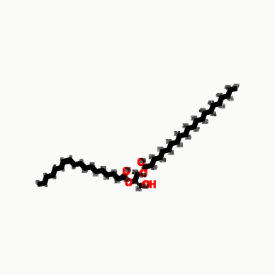 CCCCCC/C=C\CCCCCCCCCC(=O)O[C@@H](CO)COC(=O)CCCCCCCCCCCCCCCCCCCCC